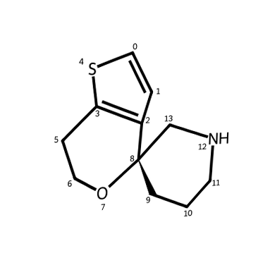 c1cc2c(s1)CCO[C@]21CCCNC1